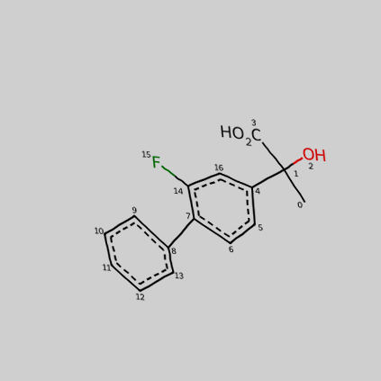 CC(O)(C(=O)O)c1ccc(-c2ccccc2)c(F)c1